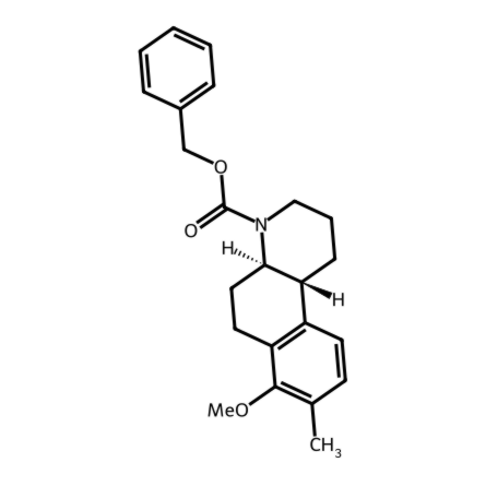 COc1c(C)ccc2c1CC[C@@H]1[C@@H]2CCCN1C(=O)OCc1ccccc1